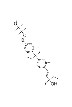 CCC(O)(/C=C/c1ccc(C(CC)(CC)c2ccc(BOC(C)(C)C(C)(C)OC)cc2)cc1C)CC